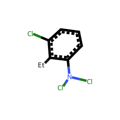 CCc1c(Cl)cccc1N(Cl)Cl